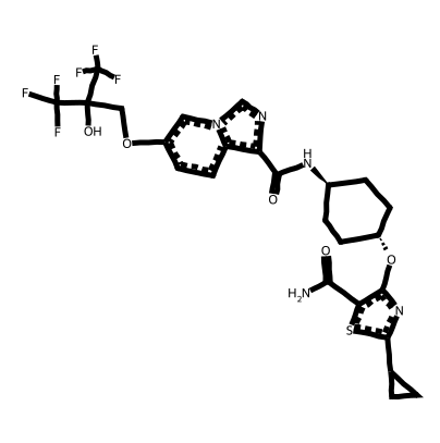 NC(=O)c1sc(C2CC2)nc1O[C@H]1CC[C@H](NC(=O)c2ncn3cc(OCC(O)(C(F)(F)F)C(F)(F)F)ccc23)CC1